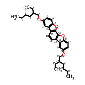 CCCCC(CC)COc1ccc2oc3c(ccc4c5cc(OCC(CC)CCCC)ccc5oc43)c2c1